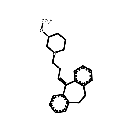 O=C(O)O[C@H]1CCCN(CCC=C2c3ccccc3CCc3ccccc32)C1